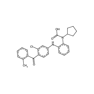 Cc1ccccc1C(=O)c1ccc(Nc2ccccc2N(C(=O)O)C2CCCC2)cc1Cl